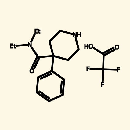 CCN(CC)C(=O)C1(c2ccccc2)CCNCC1.O=C(O)C(F)(F)F